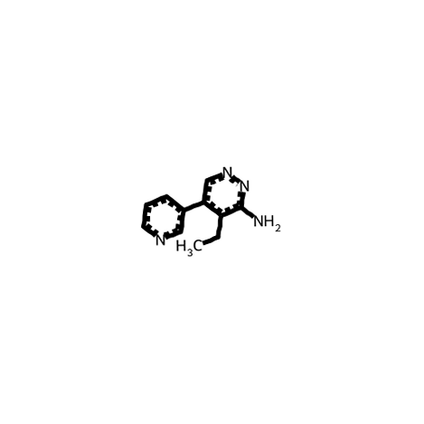 CCc1c(-c2cccnc2)cnnc1N